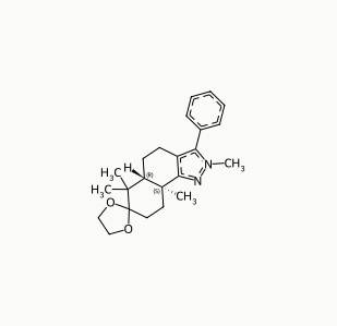 Cn1nc2c(c1-c1ccccc1)CC[C@H]1C(C)(C)C3(CC[C@]21C)OCCO3